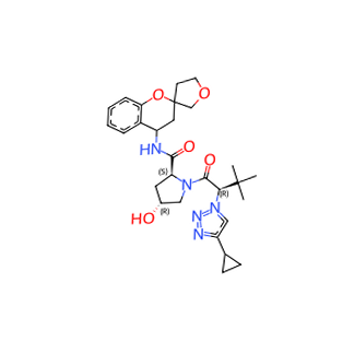 CC(C)(C)[C@H](C(=O)N1C[C@H](O)C[C@H]1C(=O)NC1CC2(CCOC2)Oc2ccccc21)n1cc(C2CC2)nn1